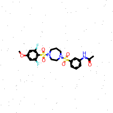 COc1cc(F)c(S(=O)(=O)N2CCCN(S(=O)(=O)c3cccc(NC(C)=O)c3)CC2)c(F)c1